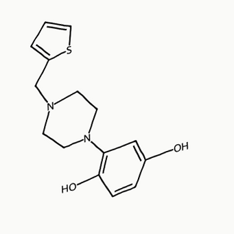 Oc1ccc(O)c(N2CCN(Cc3cccs3)CC2)c1